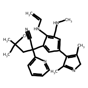 C=CNc1c(NC)cc(C2=C(C)CN=C2C)cc1C(C#N)(CC(C)(C)C)c1ccccn1